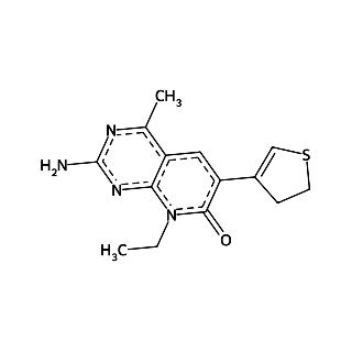 CCn1c(=O)c(C2=CSCC2)cc2c(C)nc(N)nc21